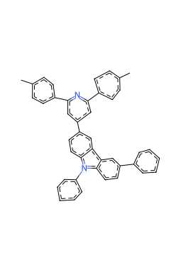 Cc1ccc(-c2cc(-c3ccc4c(c3)c3cc(-c5ccccc5)ccc3n4-c3ccccc3)cc(-c3ccc(C)cc3)n2)cc1